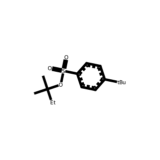 CCC(C)(C)OS(=O)(=O)c1ccc(C(C)(C)C)cc1